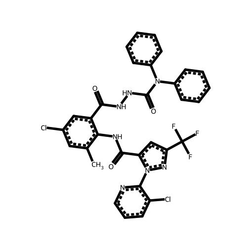 Cc1cc(Cl)cc(C(=O)NNC(=O)N(c2ccccc2)c2ccccc2)c1NC(=O)c1cc(C(F)(F)F)nn1-c1ncccc1Cl